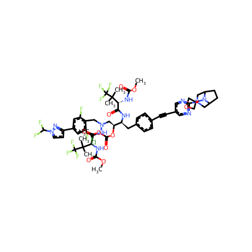 COC(=O)N[C@H](C(=O)N[C@@H](Cc1ccc(C#Cc2cnc(N3CC4CCC(C3)N4C3COC3)nc2)cc1)[C@H](CN(Cc1c(F)cc(-c2ccn(C(F)F)n2)cc1F)NC(=O)[C@@H](NC(=O)OC)C(C)(C)C(F)(F)F)OC(=O)OC(C)Cl)C(C)(C)C(F)(F)F